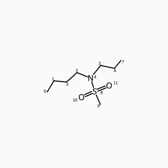 CCCCN(CCC)S(C)(=O)=O